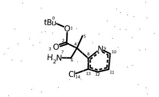 CC(C)(C)OC(=O)C(C)(CN)c1ncccc1Cl